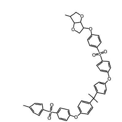 Cc1ccc(S(=O)(=O)c2ccc(Oc3ccc(C(C)(C)c4ccc(Oc5ccc(S(=O)(=O)c6ccc(OC7COC8C(C)COC78)cc6)cc5)cc4)cc3)cc2)cc1